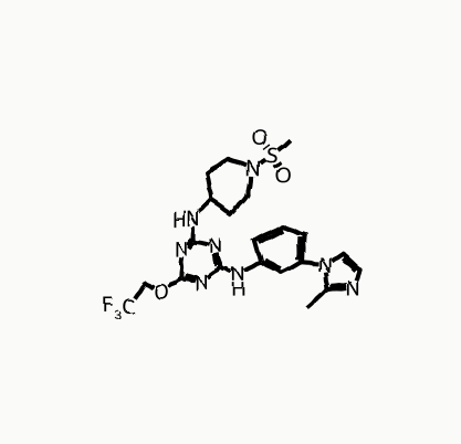 Cc1nccn1-c1cccc(Nc2nc(NC3CCN(S(C)(=O)=O)CC3)nc(OCC(F)(F)F)n2)c1